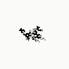 Cc1cc(-c2nncn2C)c(-c2cc(NC3(CC#N)CC3)nc(N3Cc4c(cc(CN5CCC6(CC6)C5)cc4C(F)(F)F)C3=O)c2)cn1